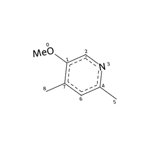 COc1[c]nc(C)cc1C